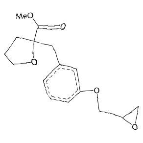 COC(=O)C1(Cc2cccc(OCC3CO3)c2)CCCO1